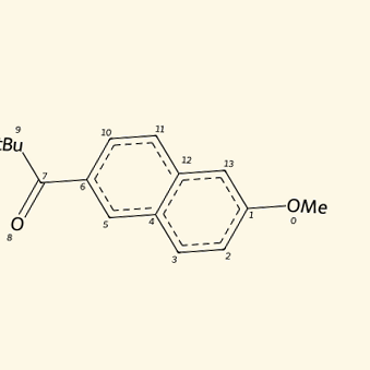 COc1ccc2cc(C(=O)C(C)(C)C)ccc2c1